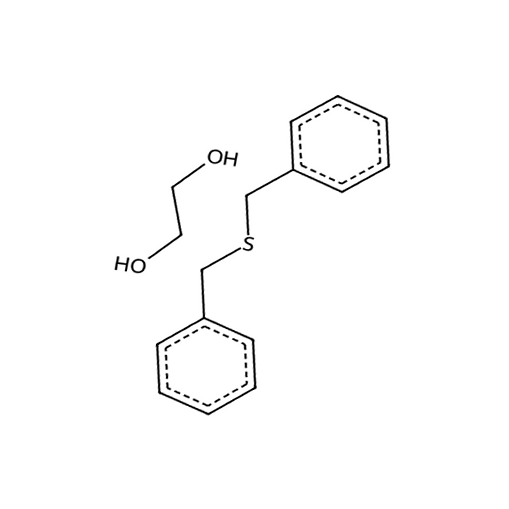 OCCO.c1ccc(CSCc2ccccc2)cc1